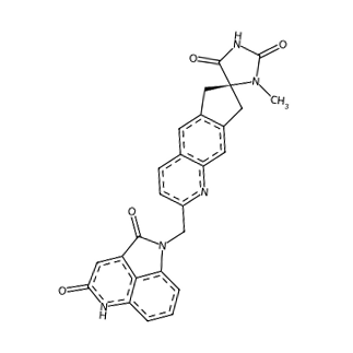 CN1C(=O)NC(=O)[C@]12Cc1cc3ccc(CN4C(=O)c5cc(=O)[nH]c6cccc4c56)nc3cc1C2